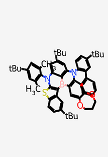 Cc1cc(C(C)(C)C)cc(C)c1N1c2cc(C(C)(C)C)cc3c2B(c2cc4c(cc2N3c2ccc(C(C)(C)C)cc2-c2ccccc2)OCCCO4)c2c1sc1ccc(C(C)(C)C)cc21